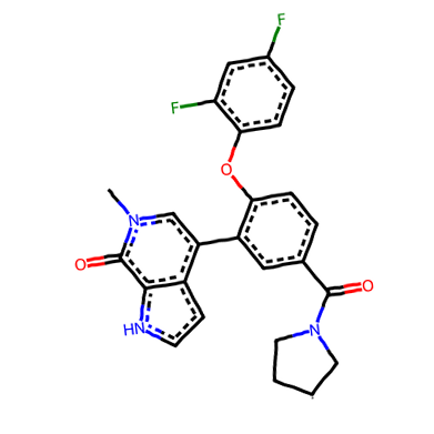 Cn1cc(-c2cc(C(=O)N3C[CH]CC3)ccc2Oc2ccc(F)cc2F)c2cc[nH]c2c1=O